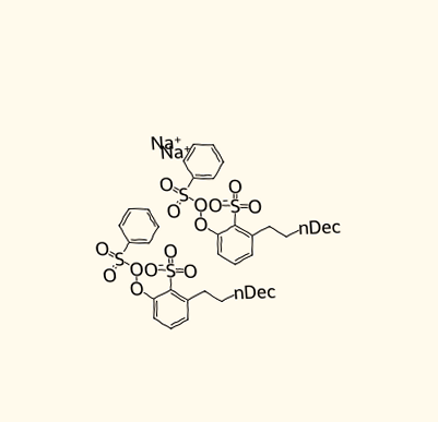 CCCCCCCCCCCCc1cccc(OOS(=O)(=O)c2ccccc2)c1S(=O)(=O)[O-].CCCCCCCCCCCCc1cccc(OOS(=O)(=O)c2ccccc2)c1S(=O)(=O)[O-].[Na+].[Na+]